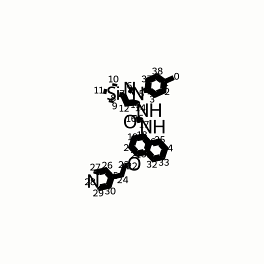 Cc1ccc(-n2nc([Si](C)(C)C)cc2NC(=O)Nc2ccc(OCCc3ccncc3)c3ccccc23)cc1